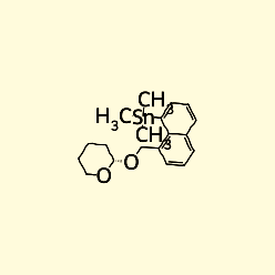 [CH3][Sn]([CH3])([CH3])[c]1cccc2cccc(CO[C@H]3CCCCO3)c12